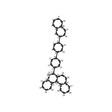 c1ccc2cc(-c3ccc(-c4ccc(-c5nc6ccccc6c6c5ccc5ccccc56)cc4)cc3)ccc2c1